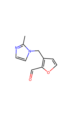 Cc1nccn1Cc1ccoc1C=O